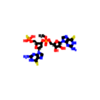 COP(=O)(OC[C@H]1O[C@@H](n2cnc3c(=S)[nH]c(N)nc32)C(O)C1O)OC1C[C@H](n2cnc3c(=S)[nH]c(N)nc32)O[C@@H]1COP(O)(O)=S